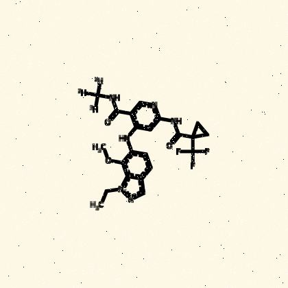 [2H]C([2H])([2H])NC(=O)c1cnc(NC(=O)C2(C(F)(F)F)CC2)cc1Nc1ccc2cnn(CC)c2c1OC